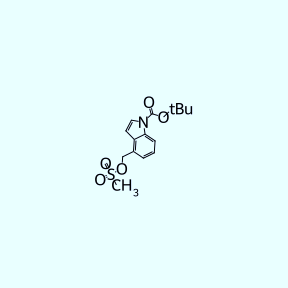 CC(C)(C)OC(=O)n1ccc2c(COS(C)(=O)=O)cccc21